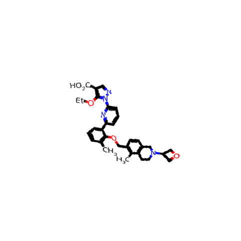 CCOc1c(C(=O)O)cnn1-c1cccc(-c2cccc(C)c2OCc2ccc3c(c2C)CCN(C2COC2)C3)n1